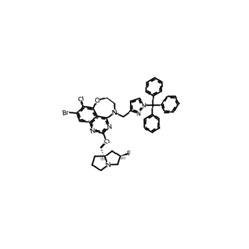 F[C@H]1CN2CCC[C@@]2(COc2nc3c4c(c(Cl)c(Br)cc4n2)OCCN3Cc2ccn(C(c3ccccc3)(c3ccccc3)c3ccccc3)n2)C1